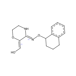 O/C=C1\OCCN\C1=N/OC1CCCc2ccccc21